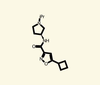 CC(C)N1CC[C@H](NC(=O)c2cc(C3CCC3)on2)C1